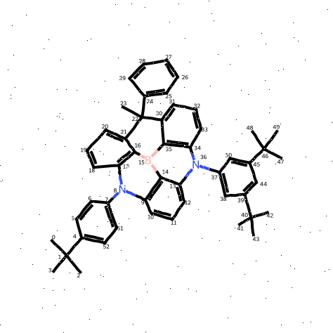 CC(C)(C)c1ccc(N2c3cccc4c3B3c5c2cccc5C(C)(c2ccccc2)c2cccc(c23)N4c2cc(C(C)(C)C)cc(C(C)(C)C)c2)cc1